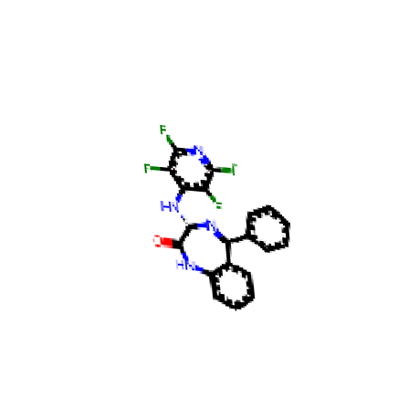 O=C1Nc2ccccc2C(c2ccccc2)=N[C@H]1Nc1c(F)c(F)nc(F)c1F